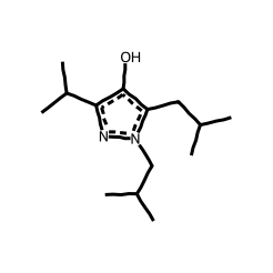 CC(C)Cc1c(O)c(C(C)C)nn1CC(C)C